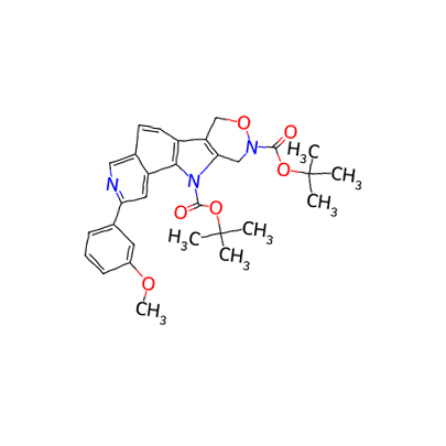 COc1cccc(-c2cc3c(ccc4c5c(n(C(=O)OC(C)(C)C)c43)CN(C(=O)OC(C)(C)C)OC5)cn2)c1